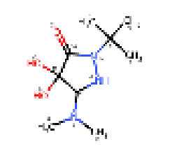 CN(C)C1NN(C(C)(C)C)C(=O)C1(O)O